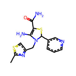 Cc1nc(CN2C(N)=C(C(N)=O)SC2c2cccnc2)cs1